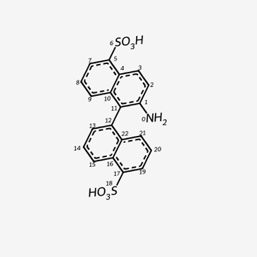 Nc1ccc2c(S(=O)(=O)O)cccc2c1-c1cccc2c(S(=O)(=O)O)cccc12